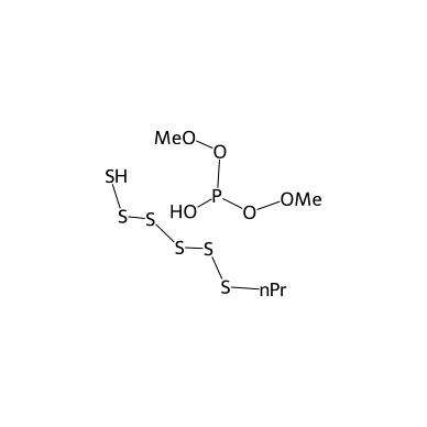 CCCSSSSSS.COOP(O)OOC